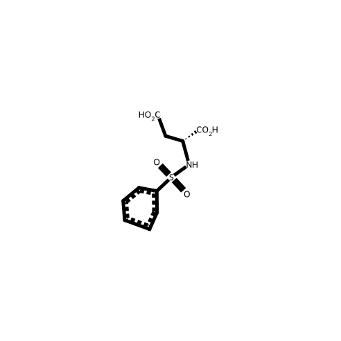 O=C(O)C[C@@H](NS(=O)(=O)c1ccccc1)C(=O)O